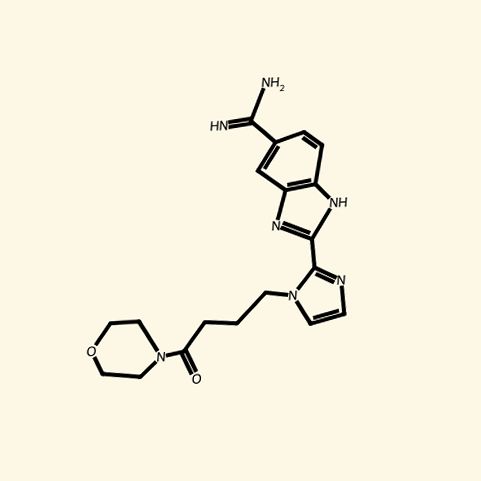 N=C(N)c1ccc2[nH]c(-c3nccn3CCCC(=O)N3CCOCC3)nc2c1